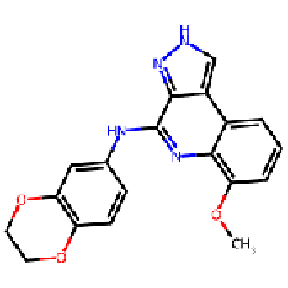 COc1cccc2c1nc(Nc1ccc3c(c1)OCCO3)c1n[nH]cc12